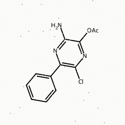 CC(=O)Oc1nc(Cl)c(-c2ccccc2)nc1N